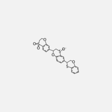 O=S1(=O)CCOc2cc(C3C[S+]([O-])c4cc(C5COc6ccccc6S5)ccc4O3)ccc21